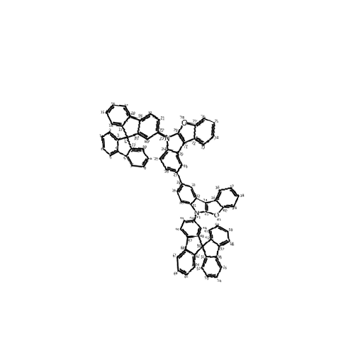 c1ccc2c(c1)-c1ccccc1C21c2ccccc2-c2ccc(-n3c4ccc(-c5ccc6c(c5)c5c7ccccc7oc5n6-c5ccc6c(c5)C5(c7ccccc7-c7ccccc75)c5ccccc5-6)cc4c4c5ccccc5oc43)cc21